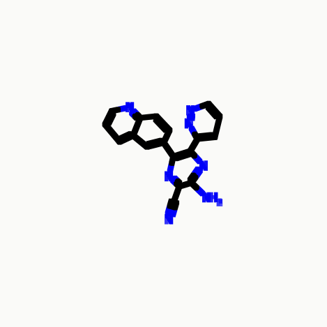 N#Cc1nc(-c2ccc3ncccc3c2)c(-c2cccnn2)nc1N